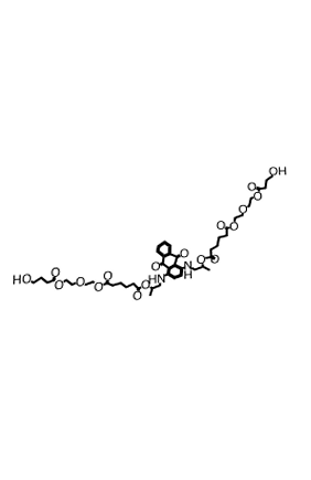 CC(CNc1ccc(NCC(C)OC(=O)CCCCC(=O)OCCOCCOC(=O)CCCO)c2c1C(=O)c1ccccc1C2=O)OC(=O)CCCCC(=O)OCCOCCOC(=O)CCCO